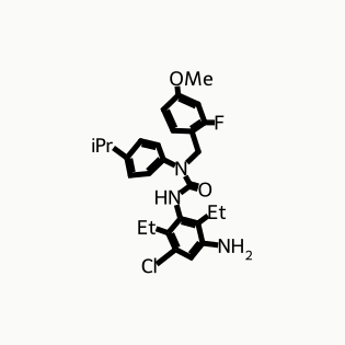 CCc1c(N)cc(Cl)c(CC)c1NC(=O)N(Cc1ccc(OC)cc1F)c1ccc(C(C)C)cc1